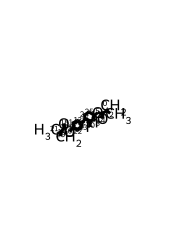 C=C(C)C(=O)OC1=C(F)C(F)=C(c2ccc(OC(=O)C(=C)C)cc2)CC1